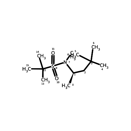 C[C@H](CC(C)(C)C)N(C)S(=O)(=O)C(C)(C)C